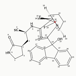 N#C[C@H](C[C@H]1CCNC1=O)NC(=O)[C@@H]1[C@H]2CC[C@H](CC2(F)F)N1C(=O)C1(O)c2ccccc2-c2ccccc21